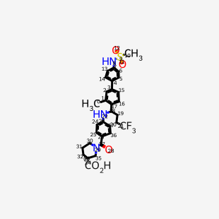 Cc1cc(-c2ccc(NS(C)(=O)=O)cc2)ccc1C(CCC(F)(F)F)Nc1ccc(C(=O)N2CCC[C@@H](C(=O)O)C2)cc1